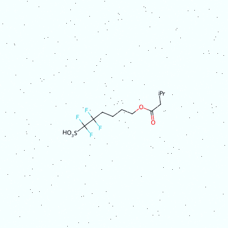 CC(C)CC(=O)OCCCCC(F)(F)C(F)(F)S(=O)(=O)O